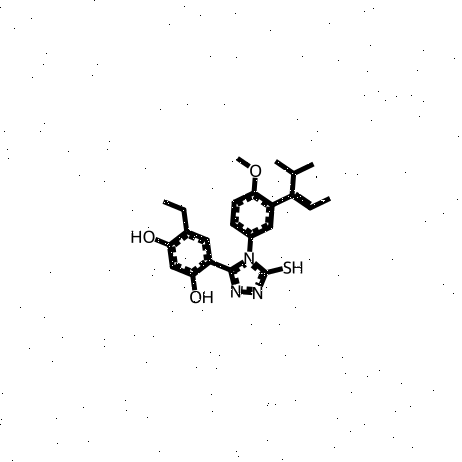 C/C=C(/c1cc(-n2c(S)nnc2-c2cc(CC)c(O)cc2O)ccc1OC)C(C)C